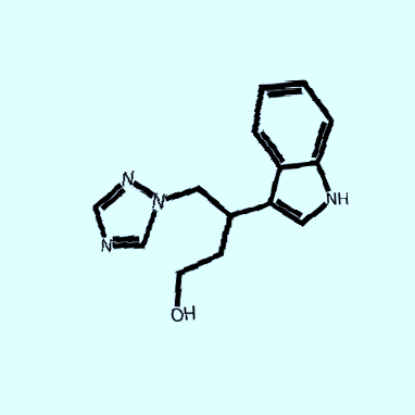 OCCC(Cn1cncn1)c1c[nH]c2ccccc12